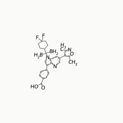 BC(B)(C1CCC(F)(F)CC1)n1cc(-c2ccc(C(=O)O)cc2)c2ncc(-c3c(C)noc3C)cc21